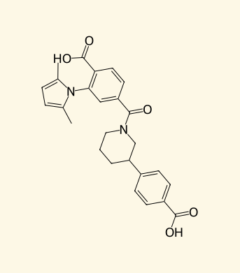 Cc1ccc(C)n1-c1cc(C(=O)N2CCCC(c3ccc(C(=O)O)cc3)C2)ccc1C(=O)O